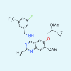 COc1cc2nc(C)nc(NCc3cc(F)cc(C(F)(F)F)c3)c2cc1OCC(OC)C1CC1